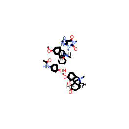 CC(=O)Nc1ccc(O)cc1.COc1ccc2c(c1)[C@]13CCCC[C@@H]1[C@H](C2)N(C)CC3.COc1ccc2c3c1O[C@H]1C(=O)CC[C@H]4[C@@H](C2)N(C)CC[C@]314.Cn1c(=O)c2c(ncn2C)n(C)c1=O